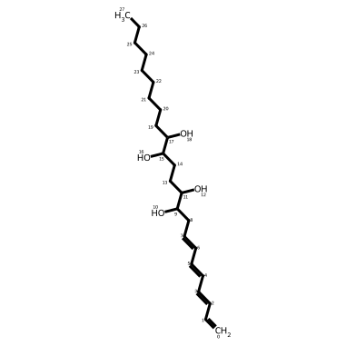 C=CC=CC=CC=CCC(O)C(O)CCC(O)C(O)CCCCCCCCC